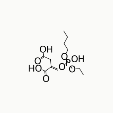 C=C(CC(=O)O)C(=O)O.CCCCOP(=O)(O)OCC